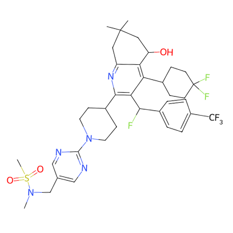 CN(Cc1cnc(N2CCC(c3nc4c(c(C5CCC(F)(F)CC5)c3C(F)c3ccc(C(F)(F)F)cc3)C(O)CC(C)(C)C4)CC2)nc1)S(C)(=O)=O